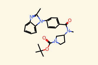 Cc1nc2ccccc2n1-c1ccc(C(=O)N(C)[C@H]2CCN(C(=O)OC(C)(C)C)C2)cc1